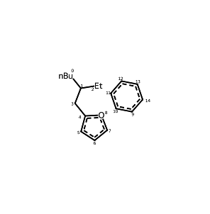 CCCCC(CC)Cc1ccco1.c1ccccc1